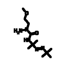 COCCN(N)C(=O)NC(C)(C)N=NC(C)(C)C